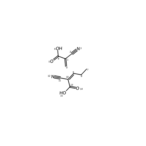 C=C(C#N)C(=O)O.CCC=C(C#N)C(=O)O